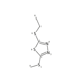 CSc1nnc(SCI)s1